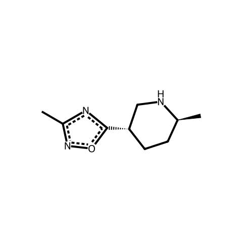 Cc1noc([C@H]2CC[C@H](C)NC2)n1